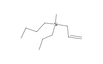 C=CC[Si](C)(CCC)CCCC